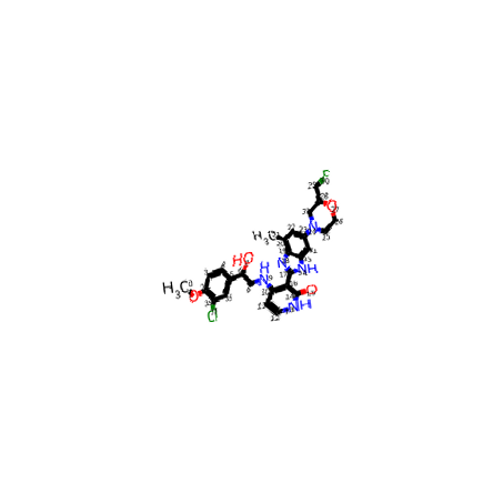 COc1ccc(C(O)CNc2cc[nH]c(=O)c2-c2nc3c(C)cc(N4CCOC(CF)C4)cc3[nH]2)cc1Cl